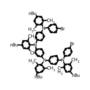 CCCCc1cc(C)c(N(c2ccc(Br)cc2)c2ccc(N(c3ccc(N(c4ccc(N(c5ccc(Br)cc5)c5c(C)cc(CCCC)cc5C)cc4)c4c(C)cc(CCCC)cc4C)cc3)c3c(C)cc(CCCC)cc3C)cc2)c(C)c1